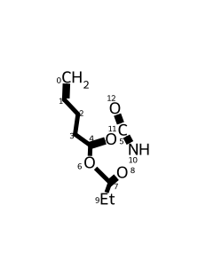 C=CCCC(=O)OC(=O)CC.N=C=O